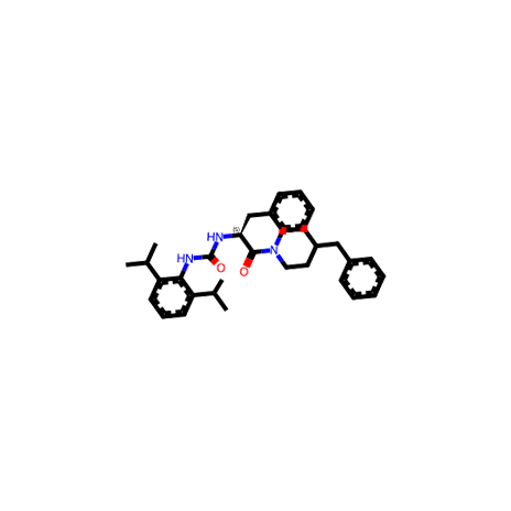 CC(C)c1cccc(C(C)C)c1NC(=O)N[C@@H](Cc1ccccc1)C(=O)N1CCC(Cc2ccccc2)CC1